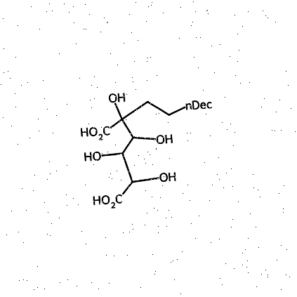 CCCCCCCCCCCCC(O)(C(=O)O)C(O)C(O)C(O)C(=O)O